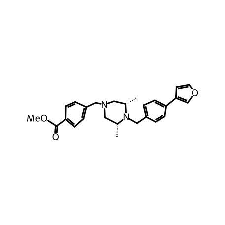 COC(=O)c1ccc(CN2C[C@@H](C)N(Cc3ccc(-c4ccoc4)cc3)[C@@H](C)C2)cc1